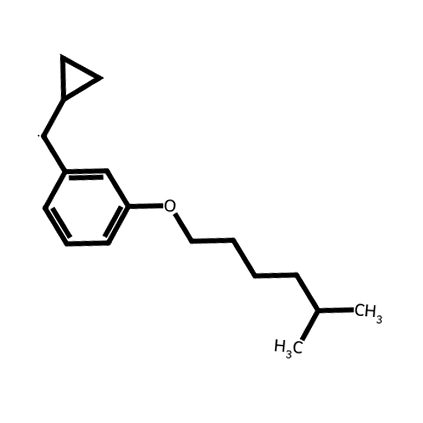 CC(C)CCCCOc1cccc([CH]C2CC2)c1